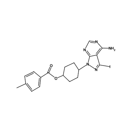 Cc1ccc(C(=O)OC2CCC(n3nc(I)c4c(N)ncnc43)CC2)cc1